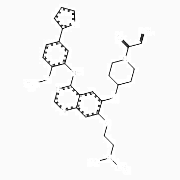 C=CC(=O)N1CCC(Oc2cc3c(Nc4cc(-c5ccco5)ccc4OC)ncnc3cc2OCCN(C)C)CC1